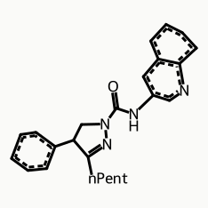 CCCCCC1=NN(C(=O)Nc2cnc3ccccc3c2)CC1c1ccccc1